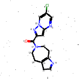 O=C(c1cc2ncc(Cl)cn2n1)N1CCC2=C(CC1)N=CC2